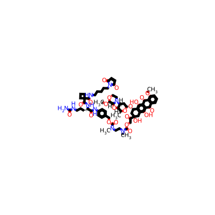 COc1cccc2c1C(=O)c1c(O)c3c(c(O)c1C2=O)C[C@@](O)(C(=O)COC(=O)N(C)CCN(C)C(=O)OCc1ccc(NC(=O)[C@H](CCCNC(N)=O)NC(=O)C2(C(=O)NCCCCCN4C(=O)C=CC4=O)CCC2)cc1)C[C@@H]3O[C@H]1C[C@H]2[C@H](O[C@@H]3[C@@H](OC)OCCN32)[C@H](C)O1